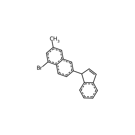 Cc1cc(Br)c2ccc(C3C=Cc4ccccc43)cc2c1